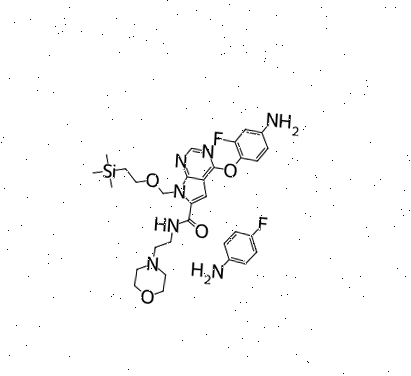 C[Si](C)(C)CCOCn1c(C(=O)NCCN2CCOCC2)cc2c(Oc3ccc(N)cc3F)ncnc21.Nc1ccc(F)cc1